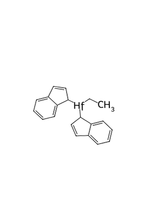 C[CH2][Hf]([CH]1C=Cc2ccccc21)[CH]1C=Cc2ccccc21